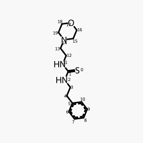 S=C(NCCc1ccccc1)NCCN1CCOCC1